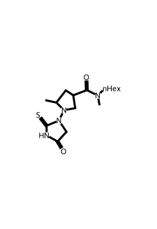 CCCCCCN(C)C(=O)C1CC(C)N(N2CC(=O)NC2=S)C1